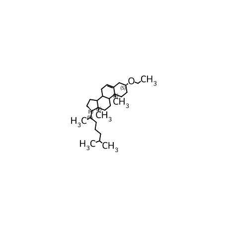 CCO[C@H]1CC[C@@]2(C)C(=CCC3C2CC[C@@]2(C)C3CC[C@@H]2[C@H](C)CCCC(C)C)C1